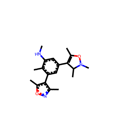 CNc1cc(C2=C(C)ON(C)C2C)cc(-c2c(C)noc2C)c1C